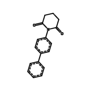 O=C1CCCC(=O)N1c1ccc(-c2ccccc2)cc1